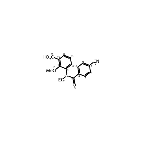 CCN(C(=O)c1ccc(C#N)cc1)c1cccc(C(=O)O)c1OC